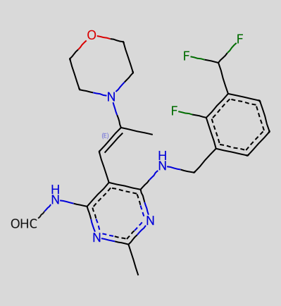 C/C(=C\c1c(NC=O)nc(C)nc1NCc1cccc(C(F)F)c1F)N1CCOCC1